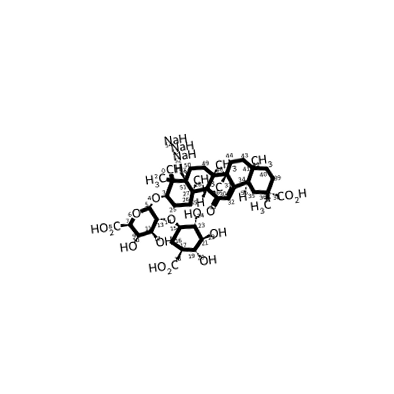 CC1(C)[C@@H](O[C@H]2O[C@H](C(=O)O)[C@@H](O)[C@H](O)[C@H]2O[C@@H]2C[C@H](C(=O)O)[C@@H](O)[C@H](O)[C@H]2O)CC[C@]2(C)[C@H]3C(=O)C=C4[C@@H]5C[C@@](C)(C(=O)O)CC[C@]5(C)CC[C@@]4(C)[C@]3(C)CC[C@@H]12.[NaH].[NaH].[NaH]